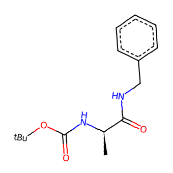 C[C@@H](NC(=O)OC(C)(C)C)C(=O)NCc1ccccc1